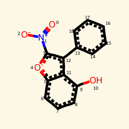 O=[N+]([O-])c1oc2cccc(O)c2c1-c1ccccc1